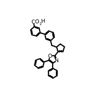 O=C(O)c1cccc(-c2cccc(CC3CCC=C3c3nc(-c4ccccc4)c(-c4ccccc4)o3)c2)c1